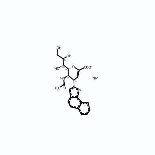 O=C([O-])C1=C[C@H](n2cc3ccc4ccccc4c3n2)[C@@H](NC(=O)C(F)(F)F)[C@H]([C@H](O)[C@H](O)CO)O1.[Na+]